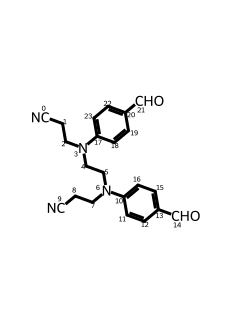 N#CCCN(CCN(CCC#N)c1ccc(C=O)cc1)c1ccc(C=O)cc1